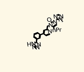 CCCc1cn(-c2ncnn2C)c(=O)n1Cc1cc(-c2cccc(-c3nnn[nH]3)c2)ccn1